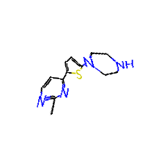 Cc1nccc(-c2ccc(N3CCNCC3)s2)n1